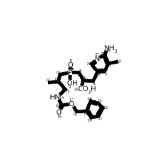 Cc1cc(CC(CP(=O)(O)CC(C)CNC(=O)OCc2ccccc2)C(=O)O)cnc1N